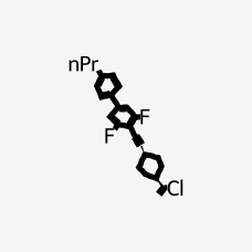 C=C(Cl)[C@H]1CC[C@H](C#Cc2c(F)cc(-c3ccc(CCC)cc3)cc2F)CC1